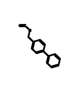 O=[C]OCc1ccc(-c2ccccc2)cc1